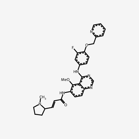 COc1c(NC(=O)C=CC2CCCN2C)ccc2ncnc(Nc3ccc(OCc4ccccn4)c(F)c3)c12